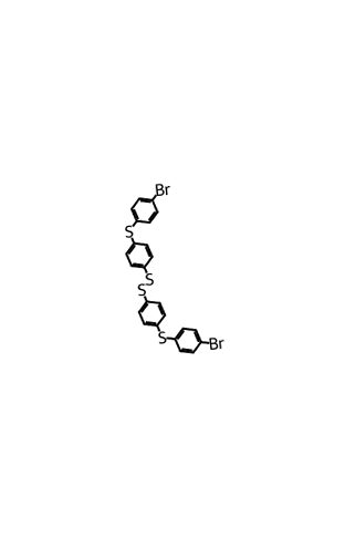 Brc1ccc(Sc2ccc(SSc3ccc(Sc4ccc(Br)cc4)cc3)cc2)cc1